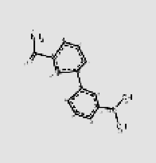 NC(=O)c1cccc(-c2cccc(B(O)O)c2)n1